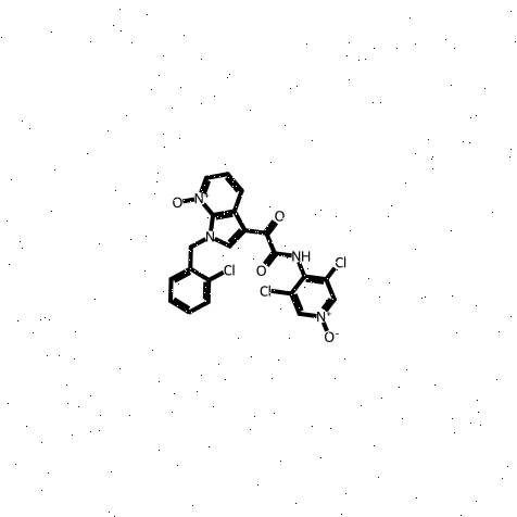 O=C(Nc1c(Cl)c[n+]([O-])cc1Cl)C(=O)c1cn(Cc2ccccc2Cl)c2c1ccc[n+]2[O-]